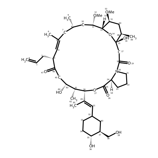 C=CC[C@@H]1/C=C(\C)C[C@H](C)C[C@H](OC)[C@H]2O[C@@](O)(CC(=O)N3CCC[C@H]3C(=O)O[C@H](/C(C)=C/C3CC[C@@H](O)[C@H](CO)C3)[C@H](C)[C@H](O)CC1=O)[C@H](C)C[C@@H]2OC